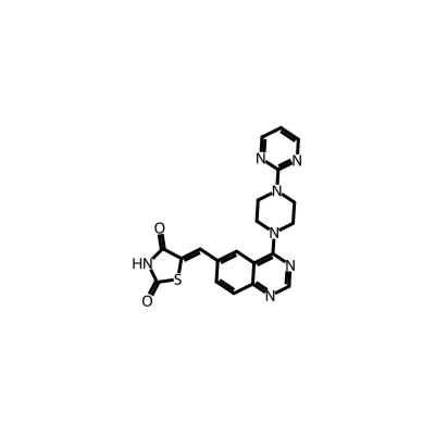 O=C1NC(=O)/C(=C/c2ccc3ncnc(N4CCN(c5ncccn5)CC4)c3c2)S1